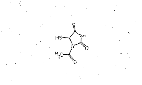 CC(=O)N1C(=O)NC(=O)C1S